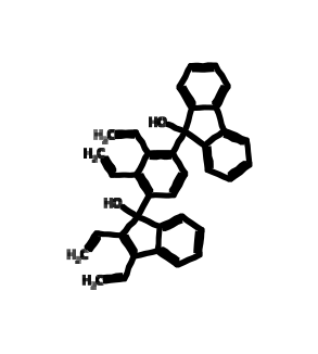 C=CC1=C(C=C)C(O)(c2ccc(C3(O)c4ccccc4-c4ccccc43)c(C=C)c2C=C)c2ccccc21